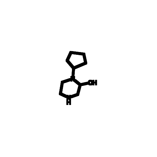 OC1CNCCN1C1CCCC1